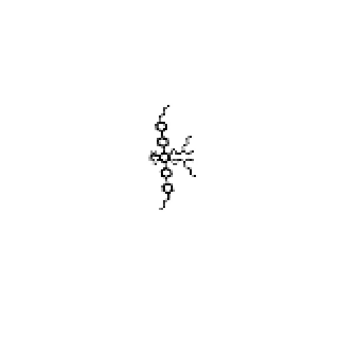 CCCCc1ccc(-c2ccc(-c3c(OCC(CC)CCCC)c(OCC(CC)CCCC)c(-c4ccc(-c5ccc(CCCC)cc5)cc4)c4nsnc34)cc2)cc1